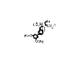 COc1cc(OC)cc(-c2cccc(C[C@H](N[C@@H](CC(C)C)C(=O)O)C(=O)O)c2)c1